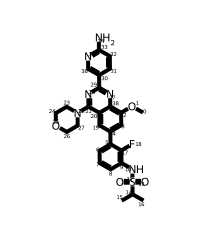 COc1cc(-c2cccc(NS(=O)(=O)C(C)C)c2F)cc2c(N3CCOCC3)nc(-c3ccc(N)nc3)nc12